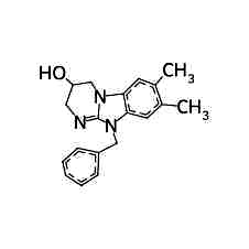 Cc1cc2c(cc1C)N1CC(O)CN=C1N2Cc1ccccc1